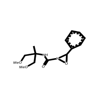 COCC(C)(COC)NC(=O)N1OC1c1ccccc1